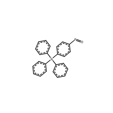 O=Pc1ccc([Si](c2ccccc2)(c2ccccc2)c2ccccc2)cc1